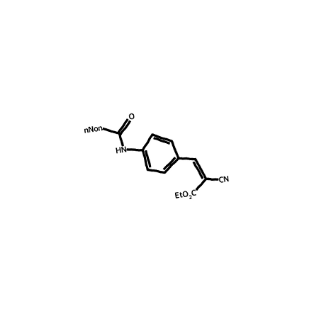 CCCCCCCCCC(=O)Nc1ccc(C=C(C#N)C(=O)OCC)cc1